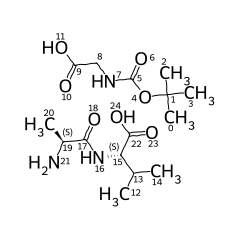 CC(C)(C)OC(=O)NCC(=O)O.CC(C)[C@H](NC(=O)[C@H](C)N)C(=O)O